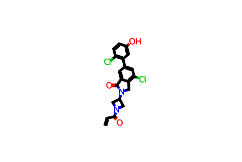 C=CC(=O)N1CC(N2Cc3c(Cl)cc(-c4cc(O)ccc4Cl)cc3C2=O)C1